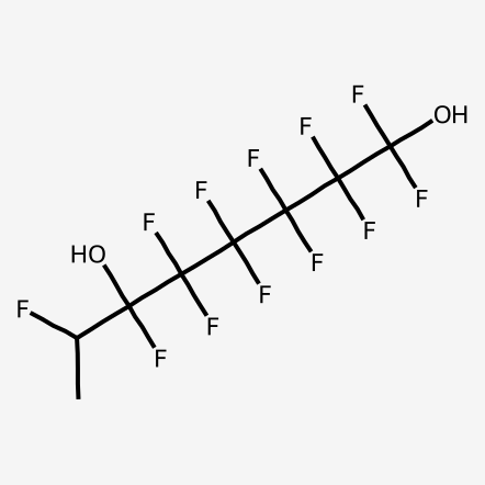 CC(F)C(O)(F)C(F)(F)C(F)(F)C(F)(F)C(F)(F)C(O)(F)F